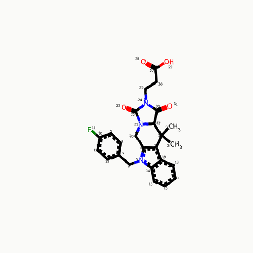 CC1(C)c2c(n(Cc3ccc(F)cc3)c3ccccc23)CN2C(=O)N(CCC(=O)O)C(=O)C21